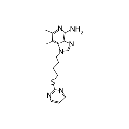 Cc1nc(N)c2ncn(CCCCSc3ncccn3)c2c1C